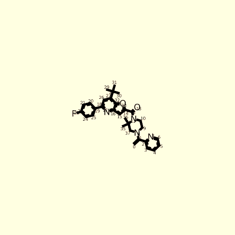 C=C(c1ccccn1)N1CCN(C(=O)c2cc3nc(-c4ccc(F)cc4)cc(C(C)(C)C)c3o2)C(C)(C)C1